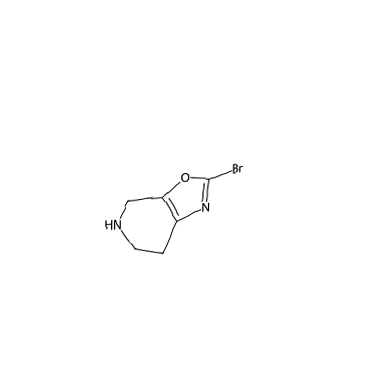 Brc1nc2c(o1)CNCC2